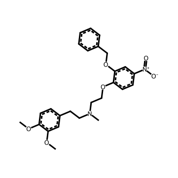 COc1ccc(CCN(C)CCOc2ccc([N+](=O)[O-])cc2OCc2ccccc2)cc1OC